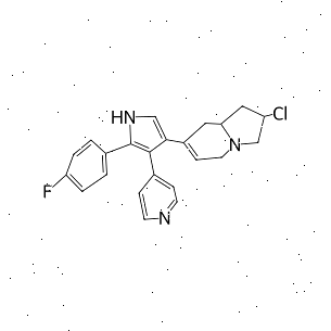 Fc1ccc(-c2[nH]cc(C3=CCN4CC(Cl)CC4C3)c2-c2ccncc2)cc1